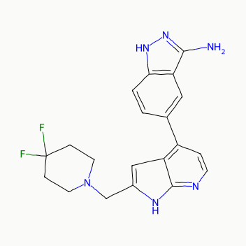 Nc1n[nH]c2ccc(-c3ccnc4[nH]c(CN5CCC(F)(F)CC5)cc34)cc12